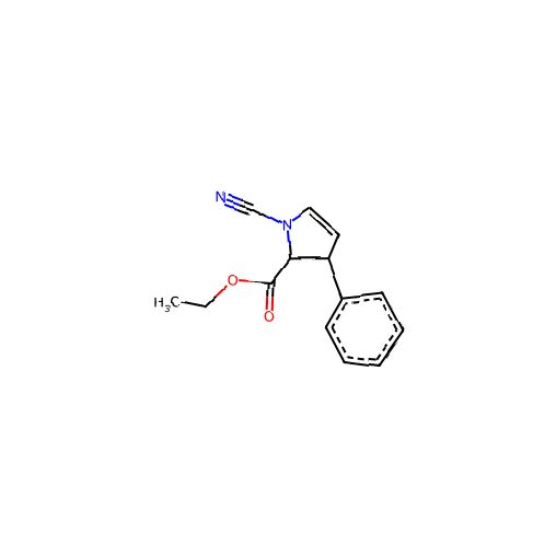 CCOC(=O)C1C(c2ccccc2)C=CN1C#N